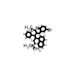 COc1nc2ccc(Br)cc2cc1/C(=C(/CCN(C)C)c1cccc2ccccc12)c1ccccc1